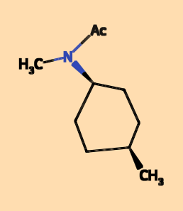 CC(=O)N(C)[C@H]1CC[C@@H](C)CC1